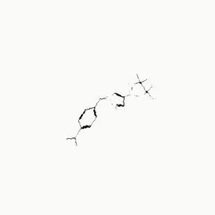 CC(C)c1ccc(Cn2cc(B3OC(C)(C)C(C)(C)O3)cn2)cc1